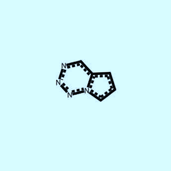 c1cc2cnnnn2c1